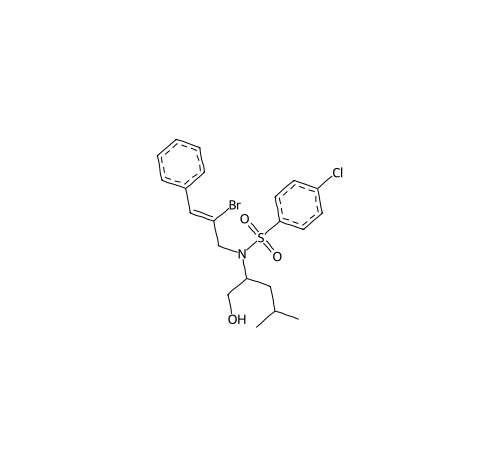 CC(C)CC(CO)N(C/C(Br)=C/c1ccccc1)S(=O)(=O)c1ccc(Cl)cc1